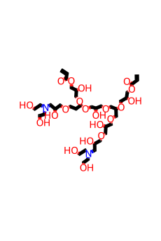 C=CC(=O)OCC(O)COC(COCC(O)COCC(O)CN(CCO)CCO)COCC(O)COC(CCOCC(O)CN(CCO)CCO)OCC(O)COC(=O)C=C